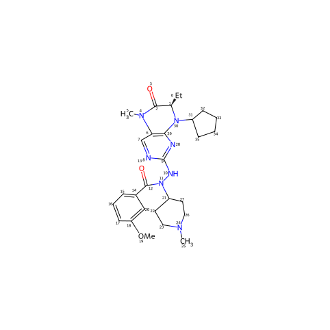 CC[C@@H]1C(=O)N(C)c2cnc(NN(C(=O)c3cccc(OC)c3)C3CCN(C)CC3)nc2N1C1CCCC1